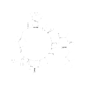 COc1cc2cc(c1Cl)N(C)C(=O)CC(OC(=O)C(C)N(C)C(=O)CCS(C)(C)C)C1(C)OC1C(C)C1CC(O)(NC(=O)O1)C(OC)/C=C/C=C(\C)C2